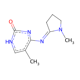 Cc1c[nH]c(=O)nc1N=C1CCCN1C